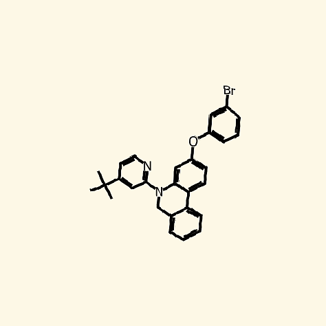 CC(C)(C)c1ccnc(N2Cc3ccccc3-c3ccc(Oc4cccc(Br)c4)cc32)c1